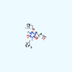 C=CCCCn1c(=O)n(CCC=C)c(=O)n(CCCC2CO2)c1=O